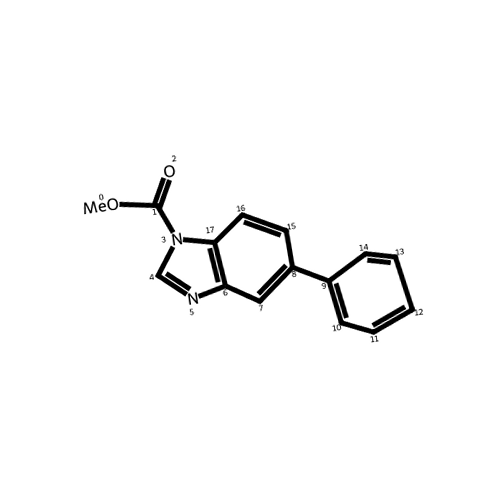 COC(=O)n1cnc2cc(-c3ccccc3)ccc21